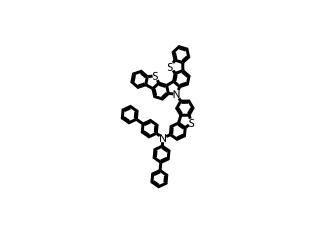 c1ccc(-c2ccc(N(c3ccc(-c4ccccc4)cc3)c3ccc4sc5ccc(-n6c7ccc8c9ccccc9sc8c7c7c8sc9ccccc9c8ccc76)cc5c4c3)cc2)cc1